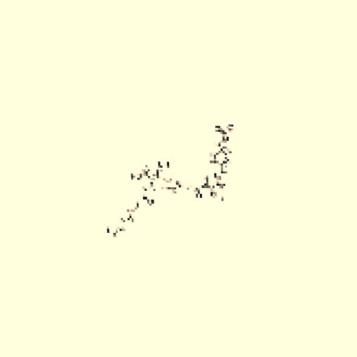 CCCCCCCC(=O)CC[C@@H]1[C@@H](C/C=C\CCCC(=O)NC(C)C(=O)OCc2ccc(CO[N+](=O)[O-])cc2)[C@@H](O)C[C@H]1O